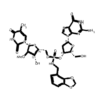 COC1[C@@H](O)[C@@H](COP(=O)(NCc2cccc3c2OCO3)O[C@@H]2C[C@H](n3cnc4c(=O)[nH]c(N)nc43)O[C@@H]2CO)O[C@H]1n1cc(C)c(=O)[nH]c1=O